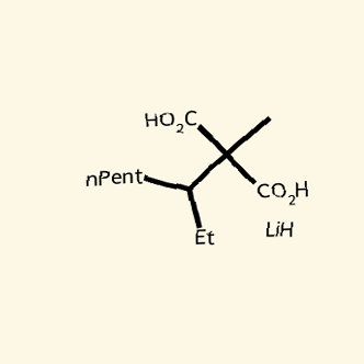 CCCCCC(CC)C(C)(C(=O)O)C(=O)O.[LiH]